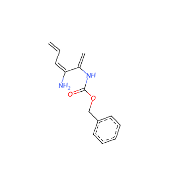 C=C/C=C(/N)C(=C)NC(=O)OCc1ccccc1